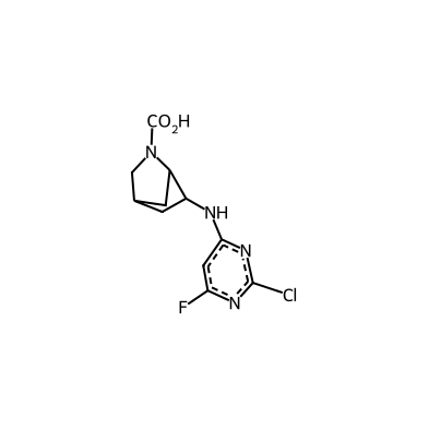 O=C(O)N1CC2CC(Nc3cc(F)nc(Cl)n3)C1C2